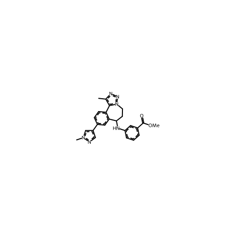 COC(=O)c1cccc(NC2CCn3nnc(C)c3-c3ccc(-c4cnn(C)c4)cc32)c1